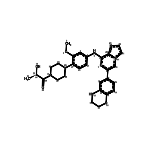 COc1cc(Nc2nc(-c3cnc4c(c3)NCCO4)cn3ccnc23)ccc1N1CCN(C(=O)[C@H](C)O)CC1